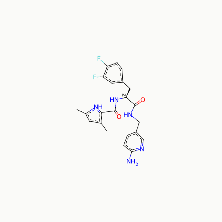 Cc1cc(C)c(C(=O)N[C@@H](Cc2ccc(F)c(F)c2)C(=O)NCc2ccc(N)nc2)[nH]1